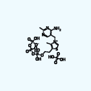 Cc1ncc(C[n+]2csc(CCOP(=O)(O)OP(=O)(O)OP(=O)([O-])O)c2C)c(N)n1.O=S(=O)(O)O